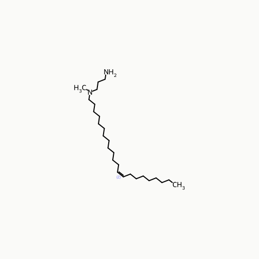 CCCCCCCC/C=C\CCCCCCCCCCCCN(C)CCCN